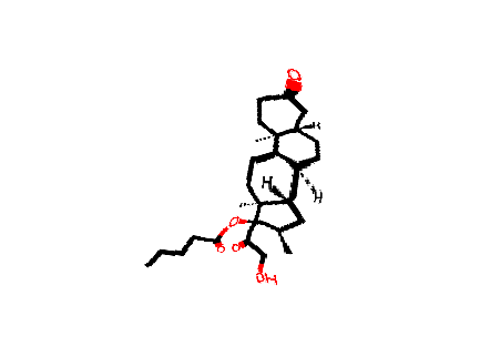 CCCCC(=O)O[C@]1(C(=O)CO)[C@H](C)C[C@H]2[C@@H]3CC[C@H]4CC(=O)CC[C@]4(C)C3=CC[C@@]21C